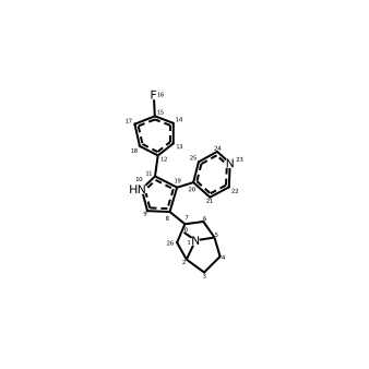 CN1C2CCC1CC(c1c[nH]c(-c3ccc(F)cc3)c1-c1ccncc1)C2